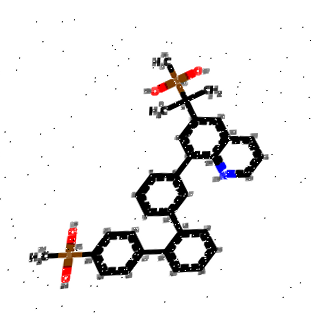 CC(C)(c1cc(-c2cccc(-c3cc[c]cc3-c3ccc(S(C)(=O)=O)cc3)c2)c2ncccc2c1)S(C)(=O)=O